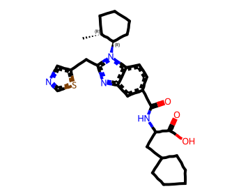 C[C@@H]1CCCC[C@H]1n1c(Cc2cncs2)nc2cc(C(=O)NC(CC3CCCCC3)C(=O)O)ccc21